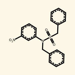 O=[N+]([O-])c1cccc(N(Cc2ccccc2)S(=O)(=O)Cc2ccccc2)c1